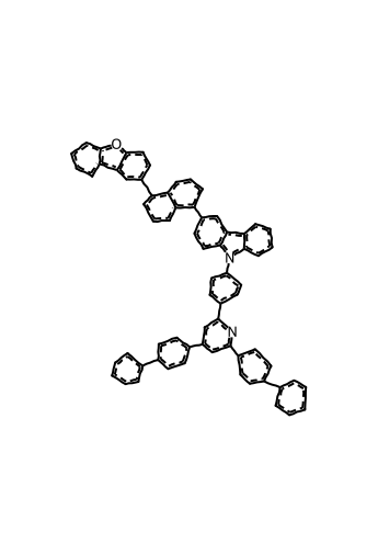 c1ccc(-c2ccc(-c3cc(-c4ccc(-c5ccccc5)cc4)nc(-c4ccc(-n5c6ccccc6c6cc(-c7cccc8c(-c9ccc%10oc%11ccccc%11c%10c9)cccc78)ccc65)cc4)c3)cc2)cc1